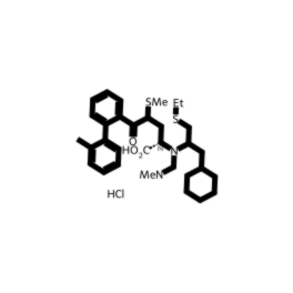 CCSCC(CC1CCCCC1)N(CNC)[C@@H](CC(SC)C(=O)c1ccccc1-c1ccccc1C)C(=O)O.Cl